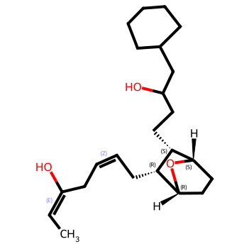 C/C=C(/O)C/C=C\C[C@@H]1[C@H](CCC(O)CC2CCCCC2)[C@@H]2CC[C@H]1O2